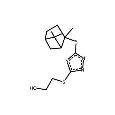 CC1(Sc2nnc(SCCO)s2)CCC2CC1C2(C)C